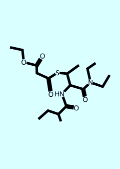 CCOC(=O)CC(=O)SC(C)C(NC(=O)C(C)CC)C(=O)N(CC)CC